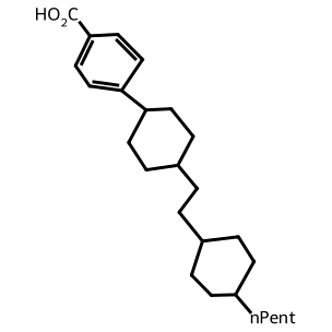 CCCCCC1CCC(CCC2CCC(c3ccc(C(=O)O)cc3)CC2)CC1